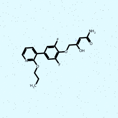 CCCOc1ncccc1-c1cc(F)c(OC/C(O)=C/C(N)=O)c(F)c1